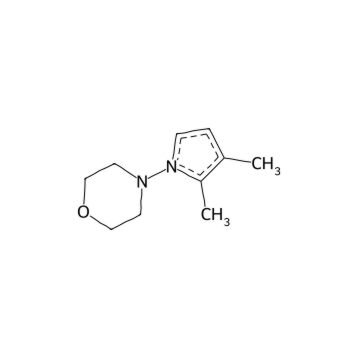 Cc1ccn(N2CCOCC2)c1C